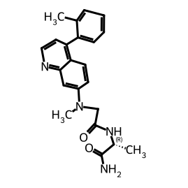 Cc1ccccc1-c1ccnc2cc(N(C)CC(=O)N[C@H](C)C(N)=O)ccc12